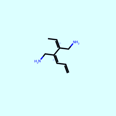 C=C/C=C(CN)\C(=C/C)CN